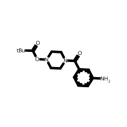 CC(C)(C)C(=O)ON1CCN(C(=O)c2cccc(N)c2)CC1